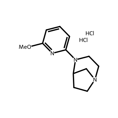 COc1cccc(N2CCN3CCC2C3)n1.Cl.Cl